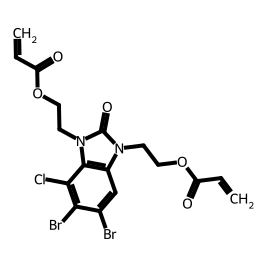 C=CC(=O)OCCn1c(=O)n(CCOC(=O)C=C)c2c(Cl)c(Br)c(Br)cc21